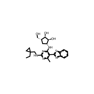 CCC1(CNc2nc(C)c(-c3nc4ccccc4s3)c(N[C@@H]3C[C@H](CO)[C@@H](O)[C@H]3O)n2)CC1